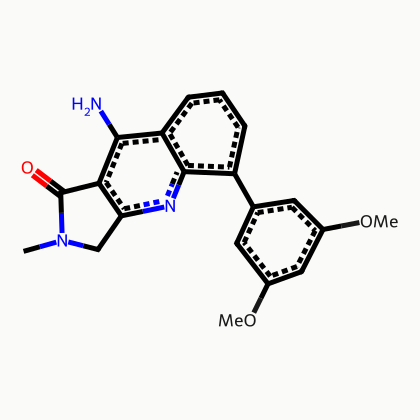 COc1cc(OC)cc(-c2cccc3c(N)c4c(nc23)CN(C)C4=O)c1